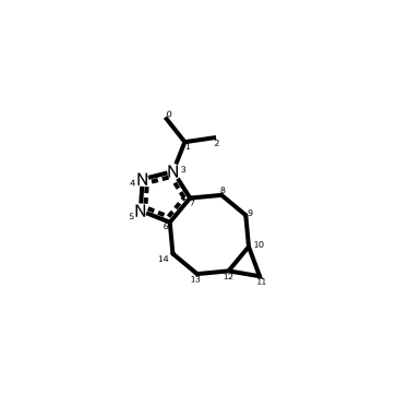 CC(C)n1nnc2c1CCC1CC1CC2